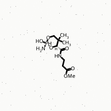 COC(=O)CCNC(=O)[C@@H]1O[PH](N)(O)OCC1(C)C